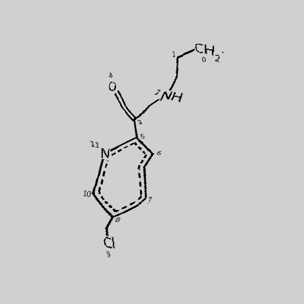 [CH2]CNC(=O)c1ccc(Cl)cn1